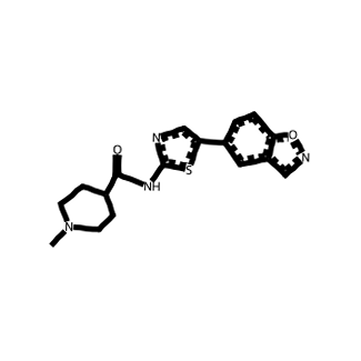 CN1CCC(C(=O)Nc2ncc(-c3ccc4oncc4c3)s2)CC1